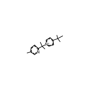 Cc1ccc(C(C)(C)[n+]2ccc(C(C)(C)C)cc2)nc1